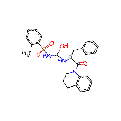 Cc1ccccc1S(=O)(=O)NC(O)N[C@@H](Cc1ccccc1)C(=O)N1CCCc2ccccc21